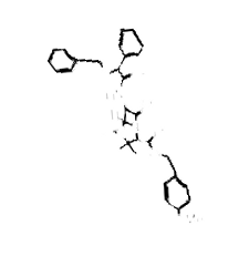 COc1ccc(COC(=O)[C@@H]2N3C(=O)[C@@H](NC(=O)C(OCc4ccccc4)c4ccccc4)[C@H]3[S+]([O-])C2(C)C)cc1